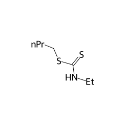 CCCCSC(=S)NCC